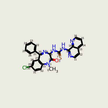 CN1C(=O)C(NC(=S)Nc2nccc3cccnc23)N=C(c2ccccc2)c2cc(Cl)ccc21